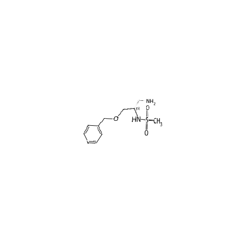 CS(=O)(=O)N[C@@H](CN)COCc1ccccc1